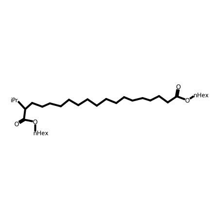 CCCCCCOC(=O)CCCCCCCCCCCCCCCCC(C(=O)OCCCCCC)C(C)C